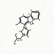 Cc1ccc2c(oc3ccncc32)c1N1C=CN(CC(C)C)C1